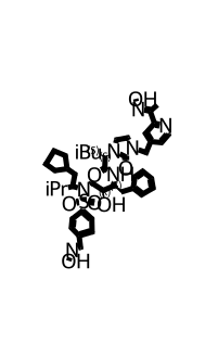 CC[C@H](C)[C@@H](C(=O)N[C@@H](Cc1ccccc1)[C@H](O)CN(C(CC1CCCC1)C(C)C)S(=O)(=O)c1ccc(C=NO)cc1)N1CCN(Cc2ccnc(C(C)=NO)c2)C1=O